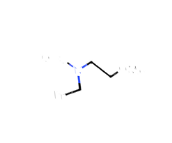 COCCN(C=O)CC(C)C